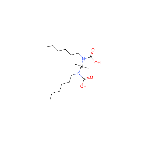 CCCCCCN(C(=O)O)[Si](C)(C)N(CCCCCC)C(=O)O